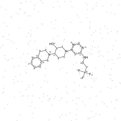 OC1CN(c2cc(NOCC(F)(F)F)ncn2)CCC1N1CCc2ccccc2C1